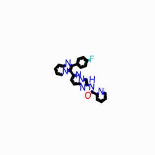 O=C(Nc1cn2nc(-c3c(-c4ccc(F)cc4)nc4ccccn34)ccc2n1)c1ccccn1